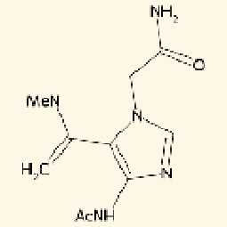 C=C(NC)c1c(NC(C)=O)ncn1CC(N)=O